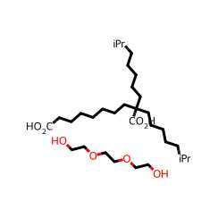 CC(C)CCCCCC(CCCCCCCC(=O)O)(CCCCCC(C)C)C(=O)O.OCCOCCOCCO